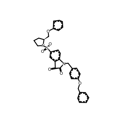 O=C1C(=O)N(Cc2ccc(OCc3ccccc3)cc2)c2ccc(S(=O)(=O)N3CCC[C@H]3COc3ccccc3)cc21